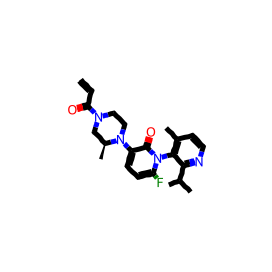 C=CC(=O)N1CCN(c2ccc(F)n(-c3c(C)ccnc3C(C)C)c2=O)[C@@H](C)C1